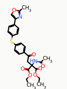 CCOC(=O)C(CC(=O)c1ccc(Sc2ccc(-c3coc(C)n3)cc2)cc1)(NC(C)=O)C(=O)OCC